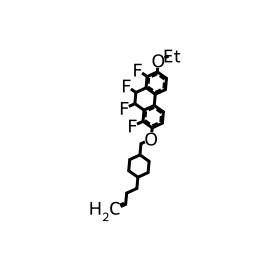 C=CCCC1CCC(COc2ccc3c(c2F)C(F)C(F)c2c-3ccc(OCC)c2F)CC1